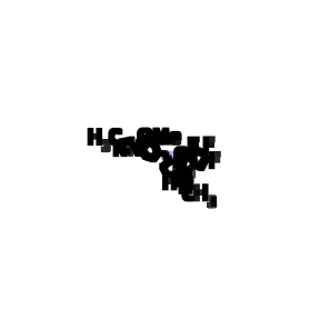 COc1cc(/C=C2\CC[C@@H]3CN(C)C[C@H](c4cc(F)c(F)c(F)c4)N3C2=O)ccc1-n1cnc(C)c1